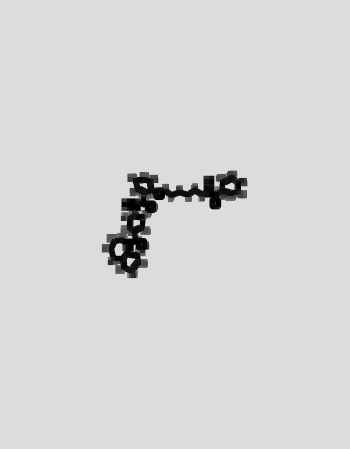 O=C(NCCCCCCOc1ccccc1C(=O)Nc1ccc(C(=O)N2CCCCc3ccccc32)cc1)c1ccccc1